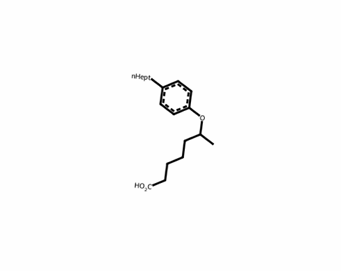 CCCCCCCc1ccc(OC(C)CCCCC(=O)O)cc1